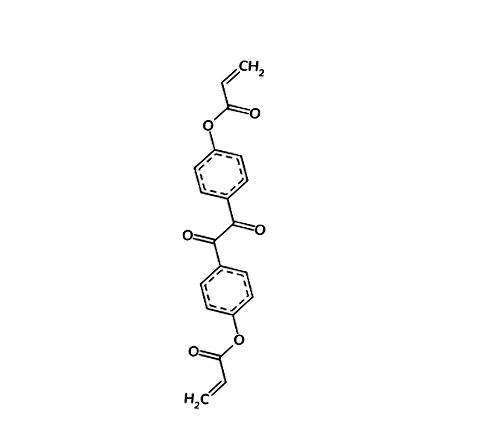 C=CC(=O)Oc1ccc(C(=O)C(=O)c2ccc(OC(=O)C=C)cc2)cc1